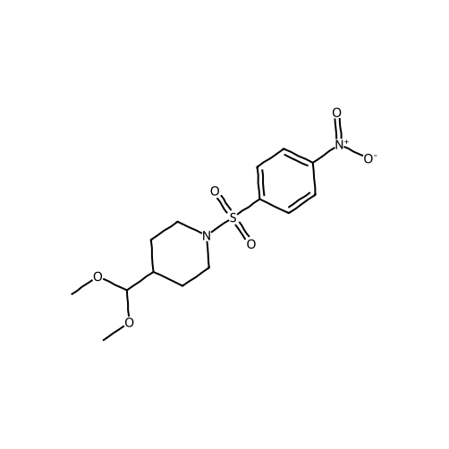 COC(OC)C1CCN(S(=O)(=O)c2ccc([N+](=O)[O-])cc2)CC1